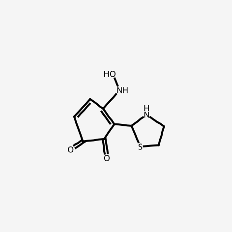 O=C1C=CC(NO)=C(C2NCCS2)C1=O